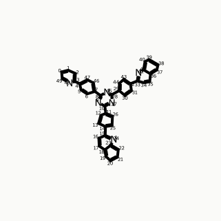 c1ccc(-c2ccc(-c3nc(-c4ccc(-c5ccc6ccccc6n5)cc4)nc(-c4ccc(-c5ccc6ccccc6n5)cc4)n3)cc2)nc1